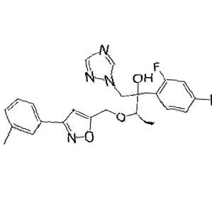 Cc1cccc(-c2cc(CO[C@H](C)C(O)(Cn3cncn3)c3ccc(F)cc3F)on2)c1